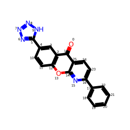 O=c1c2cc(-c3nnn[nH]3)ccc2oc2nc(-c3ccccc3)ccc12